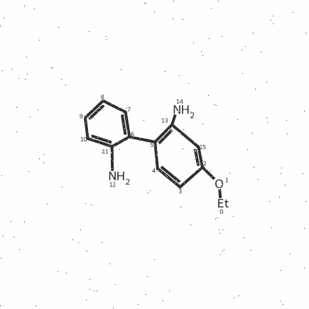 CCOc1ccc(-c2ccccc2N)c(N)c1